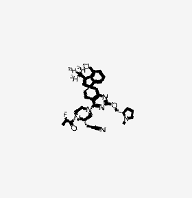 [2H]C([2H])([2H])C1=C[C@]2(CCc3c(nc(OC[C@@H]4CCCN4C)nc3N3CCN(C(=O)C(=C)F)[C@@H](CC#N)C3)C2)c2cccc(Cl)c21